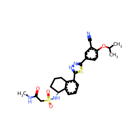 CNC(=O)CS(=O)(=O)N[C@@H]1CCCc2c(-c3nnc(-c4ccc(OC(C)C)c(C#N)c4)s3)cccc21